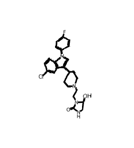 O=C1NCC(O)N1CCN1CCC(c2cn(-c3ccc(F)cc3)c3ccc(Cl)cc23)CC1